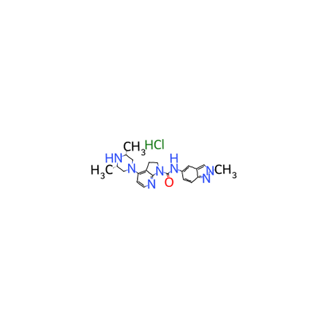 C[C@@H]1CN(c2ccnc3c2CCN3C(=O)Nc2ccc3nn(C)cc3c2)C[C@H](C)N1.Cl